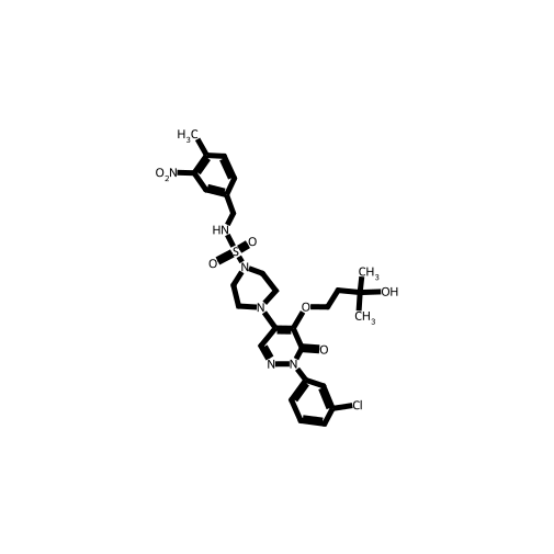 Cc1ccc(CNS(=O)(=O)N2CCN(c3cnn(-c4cccc(Cl)c4)c(=O)c3OCCC(C)(C)O)CC2)cc1[N+](=O)[O-]